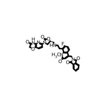 Cn1c(=O)cc(CN2C(=O)c3ccccc3C2=O)c2ccc(F)c(CCNC[C@H]3CN(c4ccc5c(n4)NC(=O)CO5)C(=O)O3)c21